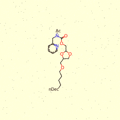 CCCCCCCCCCCCCCOCC1COC(COC(=O)N(Cc2ccccn2)C(C)=O)O1